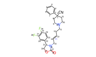 N#CC1(c2ccccc2)CCN(CC/C=C/CN2C(=O)OCC2c2ccc(F)c(F)c2)CC1